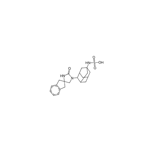 O=C1NC2(Cc3ccccc3C2)CN1C1C2CC3CC1CC(NS(=O)(=O)O)(C3)C2